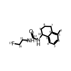 Cc1cccc2c1CCCC2NC(=O)NCCF